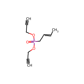 C#CCOP(=O)(C/C=C/C)OCC#C